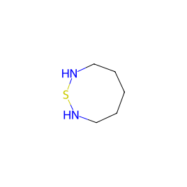 C1CCNSNCC1